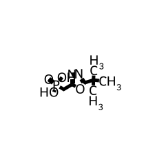 CC(C)(C)c1nnc(CP(=O)(O)O)o1